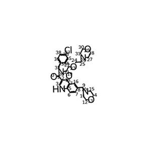 O=C(c1c[nH]c2ccc(CN3CCOCC3)cc2c1=O)N(CCOCCN1CCOCC1)Cc1ccc(Cl)cc1